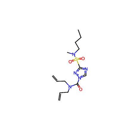 C=CCN(CC=C)C(=O)n1cnc(S(=O)(=O)N(C)CCCC)n1